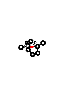 O=P1(c2cc(-c3ccccc3)cc(-c3ccccc3)c2)c2ccccc2C2(c3ccccc3N(c3ccccc3)c3ccc(-c4ccccc4)cc32)c2ccccc21